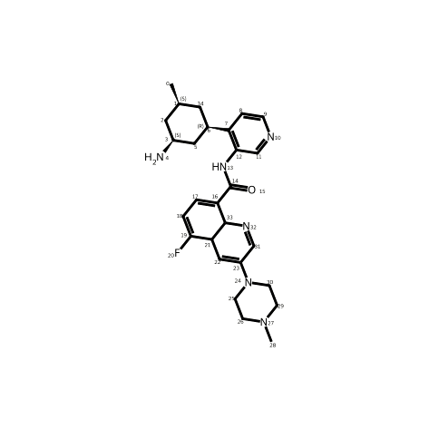 C[C@@H]1C[C@H](N)C[C@H](c2ccncc2NC(=O)C2=CC=C(F)C3C=C(N4CCN(C)CC4)C=NC23)C1